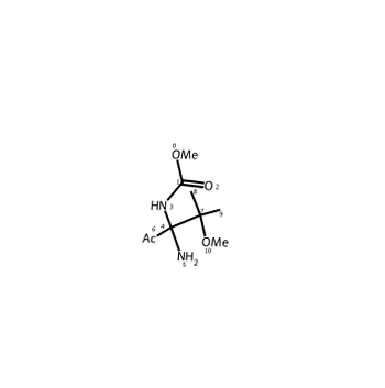 COC(=O)NC(N)(C(C)=O)C(C)(C)OC